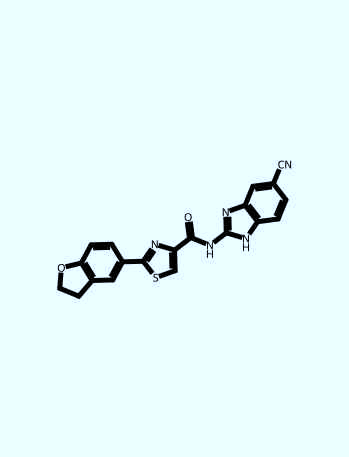 N#Cc1ccc2[nH]c(NC(=O)c3csc(-c4ccc5c(c4)CCO5)n3)nc2c1